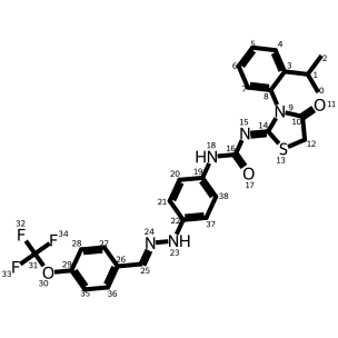 CC(C)c1ccccc1N1C(=O)CSC1=NC(=O)Nc1ccc(NN=Cc2ccc(OC(F)(F)F)cc2)cc1